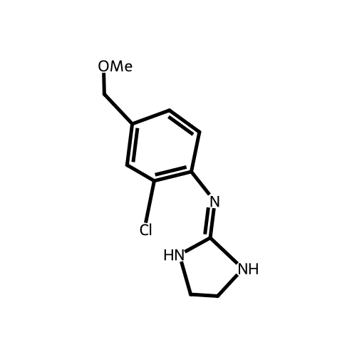 COCc1ccc(N=C2NCCN2)c(Cl)c1